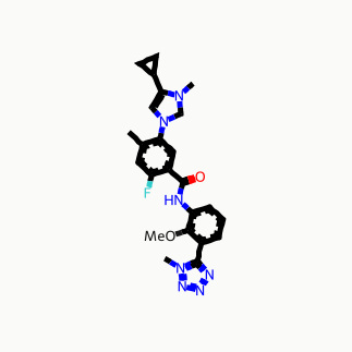 COc1c(NC(=O)c2cc(N3C=C(C4CC4)N(C)C3)c(C)cc2F)cccc1-c1nnnn1C